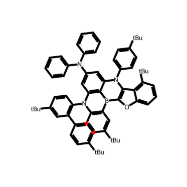 CC(C)(C)c1ccc(-c2cc(C(C)(C)C)ccc2N2c3ccc(C(C)(C)C)cc3B3c4oc5cccc(C(C)(C)C)c5c4N(c4ccc(C(C)(C)C)cc4)c4cc(N(c5ccccc5)c5ccccc5)cc2c43)cc1